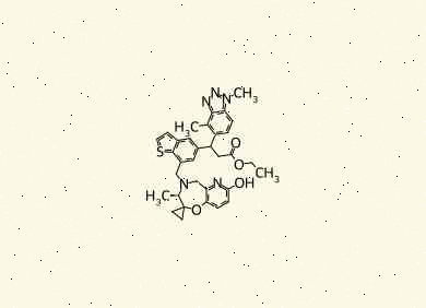 CCOC(=O)CC(c1cc(CN2Cc3nc(O)ccc3OC3(CC3)[C@H]2C)c2sccc2c1)c1ccc2c(nnn2C)c1C